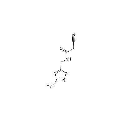 Cc1noc(CNC(=O)CC#N)n1